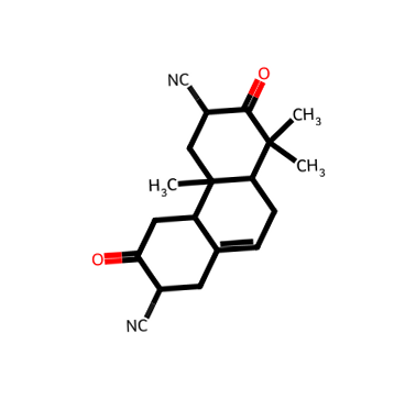 CC1(C)C(=O)C(C#N)CC2(C)C3CC(=O)C(C#N)CC3=CCC12